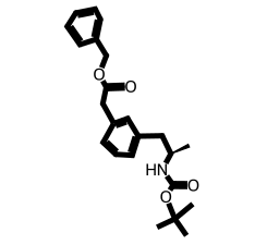 C[C@H](Cc1cccc(CC(=O)OCc2ccccc2)c1)NC(=O)OC(C)(C)C